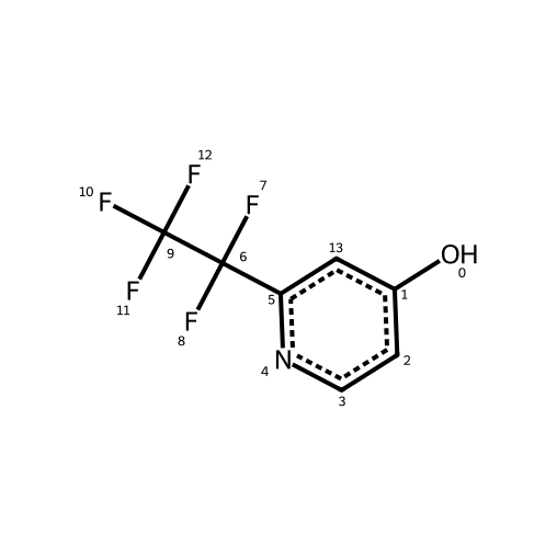 Oc1ccnc(C(F)(F)C(F)(F)F)c1